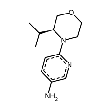 CC(C)[C@H]1COCCN1c1ccc(N)cn1